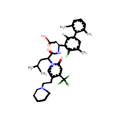 Cc1cc(-c2c(C)cccc2C)c(F)c([C@H](CC(=O)O)NC(=O)C(CC(C)C)n2cc(CCN3CCCCC3)c(C(F)(F)F)cc2=O)c1F